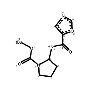 CC(C)(C)OC(=O)N1CCCC1NC(=O)c1cnco1